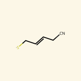 N#CCC=CC[S]